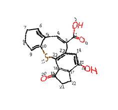 O=C(O)C1=CC2=CCCC=C2Sc2c1cc(O)c1c2C(=O)CC1